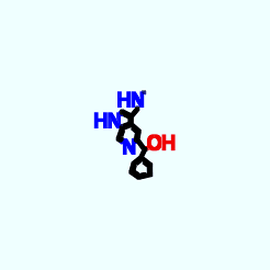 CNCc1c[nH]c2cnc(C(O)c3ccccc3)cc12